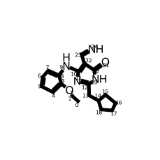 CCOc1ccccc1Nc1nc(CC2CCCC2)[nH]c(=O)c1C=N